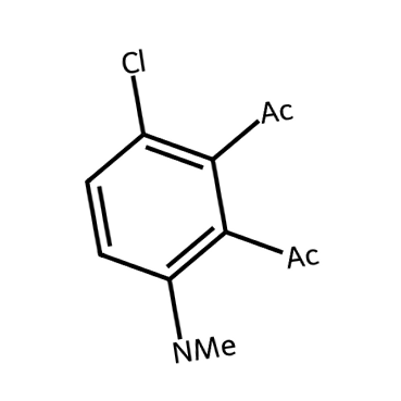 CNc1ccc(Cl)c(C(C)=O)c1C(C)=O